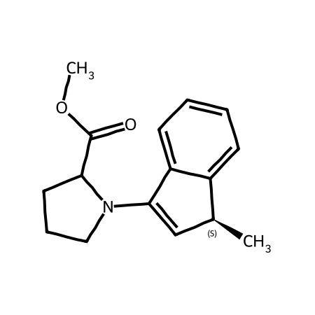 COC(=O)C1CCCN1C1=C[C@H](C)c2ccccc21